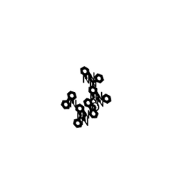 c1ccc2c(c1)nc1n(-c3ccc4c(c3)n3c5ccccc5nc3n4-c3cccc4c3oc3cccc(-n5c6ccc(-n7c8ccccc8c8ccccc87)cc6n6c7ccccc7nc56)c34)c3ccccc3n21